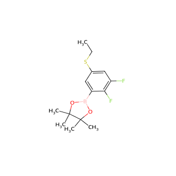 CCSc1cc(F)c(F)c(B2OC(C)(C)C(C)(C)O2)c1